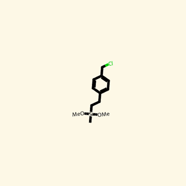 CO[Si](C)(CCc1ccc(CCl)cc1)OC